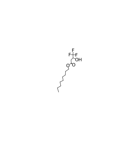 CCCCCCCCCOC(=O)CC(O)C(F)(F)F